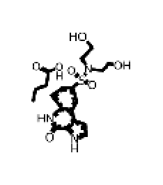 CCCC(=O)O.O=c1[nH]c2ccc(S(=O)(=O)N(CCO)CCO)cc2c2cc[nH]c12